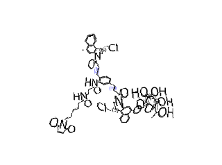 CC(O)[C@H]1O[C@@H](OOc2cc3c(c4ccccc24)[C@H](CCl)CN3C(=O)/C=C/c2ccc(/C=C/C(=O)N3C[C@@H](CCl)c4c3c[c]c3ccccc43)c(NC(=O)CCNC(=O)CCCCCN3C(=O)C=CC3=O)c2)[C@H](O)[C@@H](O)[C@@H]1O